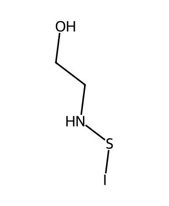 OCCNSI